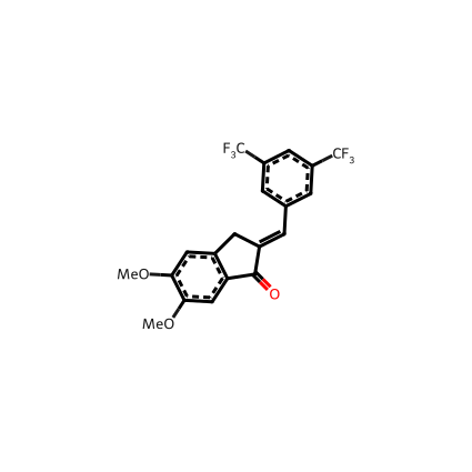 COc1cc2c(cc1OC)C(=O)C(=Cc1cc(C(F)(F)F)cc(C(F)(F)F)c1)C2